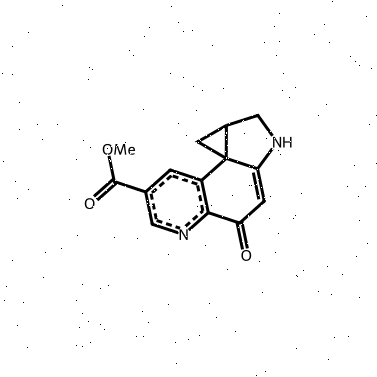 COC(=O)c1cnc2c(c1)C13CC1CNC3=CC2=O